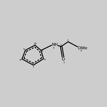 COCC(=O)Nc1cc[c]cc1